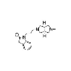 CN1C[C@@H]2CN(CCCN3C(=O)Cc4ccccc43)C[C@@H]2C1